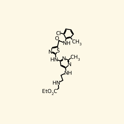 CCOC(=O)CNCCNc1cc(Nc2ncc(C(=O)Nc3c(C)cccc3Cl)s2)nc(C)n1